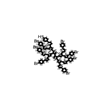 Sc1ccc(-c2ccc(-c3cc(-c4scc(-c5csc(-c6cc(-c7ccc(-c8ccc(Br)cc8)s7)c(-c7ccc(-c8ccc(Br)cc8)s7)s6)c5-c5cc(-c6ccc(-c7ccc(Br)cc7)s6)c(-c6ccc(-c7ccc(Br)cc7)s6)s5)c4-c4cc(-c5ccc(-c6ccc(Br)cc6)s5)c(-c5ccc(-c6ccc(Br)cc6)s5)s4)sc3-c3ccc(-c4ccc(Br)cc4)s3)s2)cc1